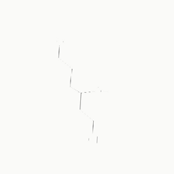 OCCC[C](O)CCO